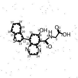 O=C(O)CNC(=O)c1c(O)cc(-c2csc3ccccc23)c2nccnc12